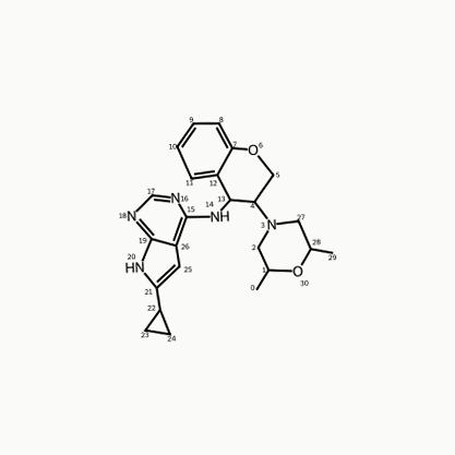 CC1CN(C2COc3ccccc3C2Nc2ncnc3[nH]c(C4CC4)cc23)CC(C)O1